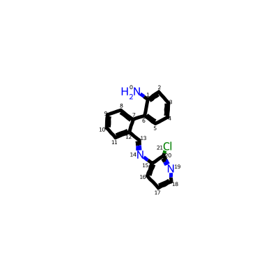 Nc1ccccc1-c1ccccc1C=Nc1cccnc1Cl